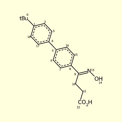 CC(C)(C)c1ccc(-c2ccc(C(CCC(=O)O)=NO)cc2)cc1